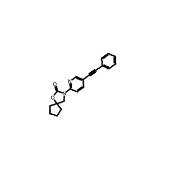 O=C1OC2(CCCC2)CN1c1ccc(C#Cc2ccccc2)cn1